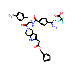 N=C(N)c1ccc(C(=O)N[C@@H](Cc2ccc([N+](=O)[O-])cc2)C(=O)N2CCc3[nH]c(CC(=O)OCc4ccccc4)cc3C2)cc1.O=C(O)C(F)(F)F